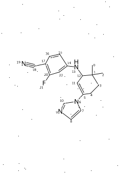 CC1(C)CCC(n2ccnc2)=CC1Nc1ccc(C#N)c(F)c1